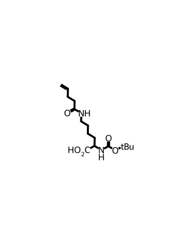 C=CCCC(=O)NCCCCC(NC(=O)OC(C)(C)C)C(=O)O